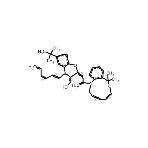 C=C/C=C\C=C\B1C(=C\O)/C(=C\C(=C)N2C/C=C\C=C/CC(C)(C)c3ccccc32)Oc2ccc(C(C)(C)C)cc21